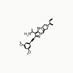 C=CC(=C)N1CC/C(=C\n2nc(C#Cc3cc(OC)cc(OC)c3)c(C(C)N)c2N)C1